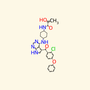 C[C@H](O)C(=O)N[C@H]1CC[C@@H](Nc2ncnc3[nH]cc(C(=O)c4ccc(Oc5ccccc5)cc4Cl)c23)CC1